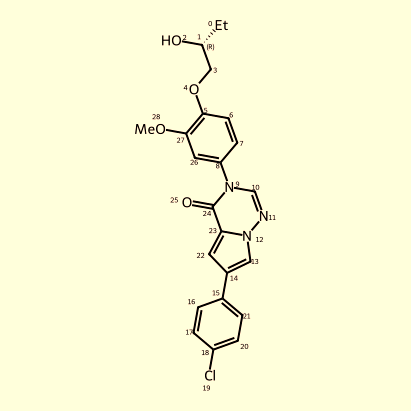 CC[C@@H](O)COc1ccc(-n2cnn3cc(-c4ccc(Cl)cc4)cc3c2=O)cc1OC